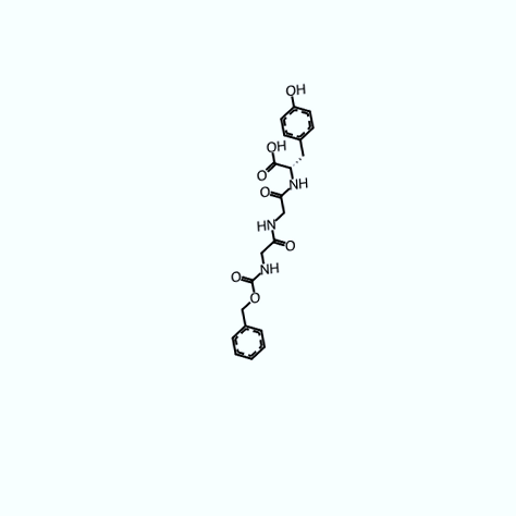 O=C(CNC(=O)OCc1ccccc1)NCC(=O)N[C@@H](Cc1ccc(O)cc1)C(=O)O